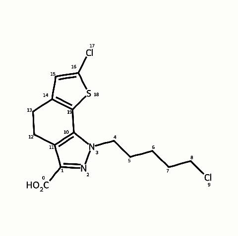 O=C(O)c1nn(CCCCCCl)c2c1CCc1cc(Cl)sc1-2